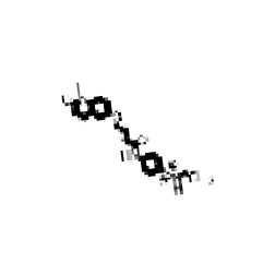 CCNS(=O)(=O)c1ccc(NC(=O)CCCOc2ccc3[nH]c(=O)ccc3c2)cc1